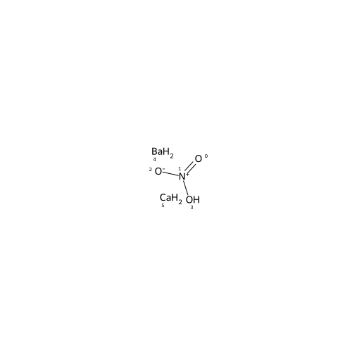 O=[N+]([O-])O.[BaH2].[CaH2]